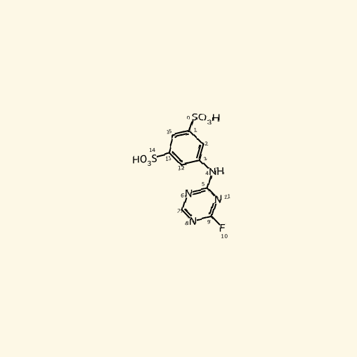 O=S(=O)(O)c1cc(Nc2n[c]nc(F)n2)cc(S(=O)(=O)O)c1